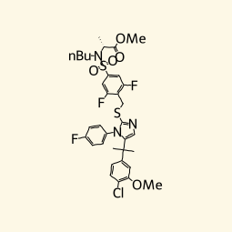 CCCCN([C@H](C)C(=O)OC)S(=O)(=O)c1cc(F)c(CSc2ncc(C(C)(C)c3ccc(Cl)c(OC)c3)n2-c2ccc(F)cc2)c(F)c1